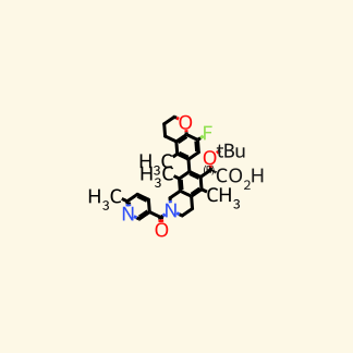 Cc1ccc(C(=O)N2CCc3c(C)c([C@@H](OC(C)(C)C)C(=O)O)c(-c4cc(F)c5c(c4C)CCCO5)c(C)c3C2)cn1